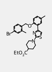 CCOC(=O)C1CCN(c2nc(-c3cc(C)ccc3OCc3ccc(Br)cc3C)cs2)CC1